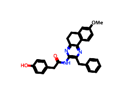 COc1ccc2c(c1)CCc1nc(NC(=O)Cc3ccc(O)cc3)c(Cc3ccccc3)nc1-2